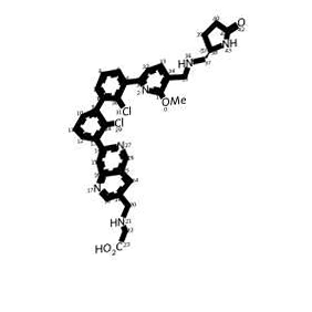 COc1nc(-c2cccc(-c3cccc(-c4cc5ncc(CNCC(=O)O)cc5cn4)c3Cl)c2Cl)ccc1CNC[C@@H]1CCC(=O)N1